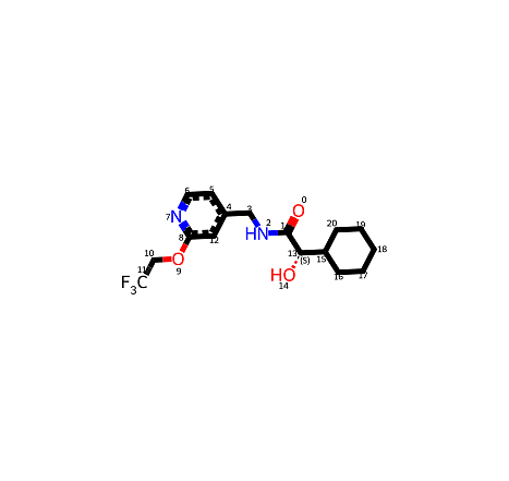 O=C(NCc1ccnc(OCC(F)(F)F)c1)[C@@H](O)C1CCCCC1